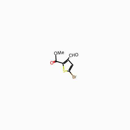 COC(=O)c1sc(Br)cc1C=O